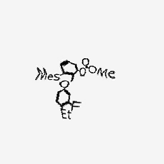 CCc1ccc(OCc2c(OC(=O)OC)cccc2SC)cc1F